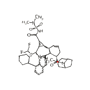 CN1CC2CCC(C1)N2C(=O)[C@@H]1CC=CC2=C3C(C(=O)NS(=O)(=O)N(C)C)=C3C(OC(F)F)n3c(cc4cccc(C5CCCCC5)c43)C21